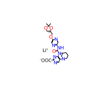 CC1(C)OC[C@H](COc2cnc(NC(=O)N3c4nc(C(=O)[O-])ncc4N4CCCC3C4)cn2)O1.[Li+]